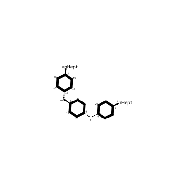 CCCCCCC[C@H]1CC[C@H](C[C@H]2CC[C@H](C[C@H]3CC[C@H](CCCCCCC)CC3)CC2)CC1